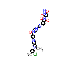 C[C@H]1CC2(CCN(c3ccc(C(=O)N4CCN(C5CN(c6ccc7c(c6)C(=O)N(C6CCC(=O)NC6=O)C7=O)C5)CC4)cc3)CC2)CN1c1ccc(C#N)c(Cl)c1